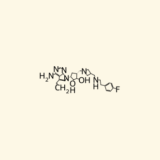 C=Cc1cn([C@@H]2C[C@H](CN3CC(CNCCc4ccc(F)cc4)C3)[C@@H](O)[C@H]2O)c2ncnc(N)c12